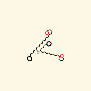 c1ccc(CCCC(CCCCCCCCC2CCCCO2)SC(CCCCCCCCC2CCCCO2)CCCc2ccccc2)cc1